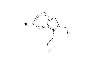 CC(C)CCn1c(CCl)nc2ccc(C#N)cc21